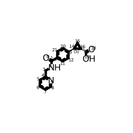 O=C(NCc1ccccn1)c1ccc([C@H]2C[C@@H]2C(=O)O)cc1